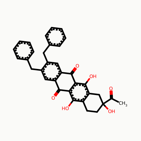 CC(=O)C1(O)CCc2c(O)c3c(c(O)c2C1)C(=O)c1cc(Cc2ccccc2)c(Cc2ccccc2)cc1C3=O